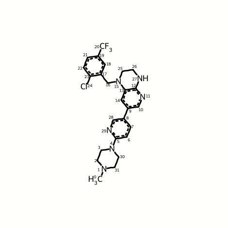 CN1CCN(c2ccc(-c3cnc4c(c3)N(Cc3cc(C(F)(F)F)ccc3Cl)CCN4)cn2)CC1